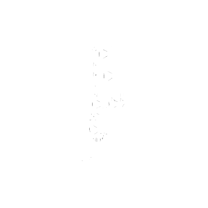 COc1ccc(CN2CCN(C3CC4(CCN(c5ccc(C(=O)NS(=O)(=O)c6ccc(NCC7CCC(C)(O)CC7)c([N+](=O)[O-])c6)c(Oc6cnc7[nH]ccc7c6)c5)CC4)C3)[C@H](c3ccccc3C(C)C)C2)c(OC)c1